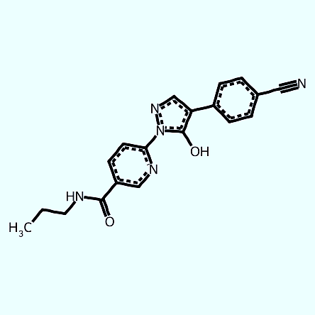 CCCNC(=O)c1ccc(-n2ncc(-c3ccc(C#N)cc3)c2O)nc1